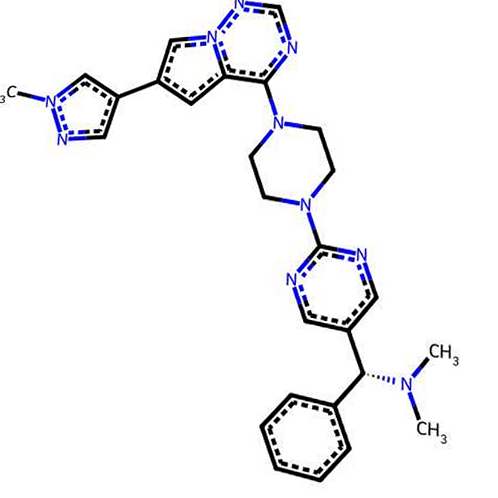 CN(C)[C@H](c1ccccc1)c1cnc(N2CCN(c3ncnn4cc(-c5cnn(C)c5)cc34)CC2)nc1